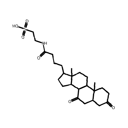 CC12CCC3C(C(=O)CC4CC(=O)CCC43C)C1CCC2CCCC(=O)NCCS(=O)(=O)O